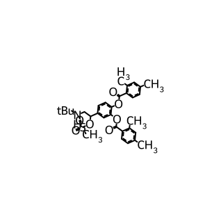 Cc1ccc(C(=O)Oc2ccc(C(CNC(C)(C)C)OS(C)(=O)=O)cc2OC(=O)c2ccc(C)cc2C)c(C)c1